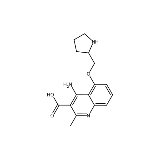 Cc1nc2cccc(OCC3CCCN3)c2c(N)c1C(=O)O